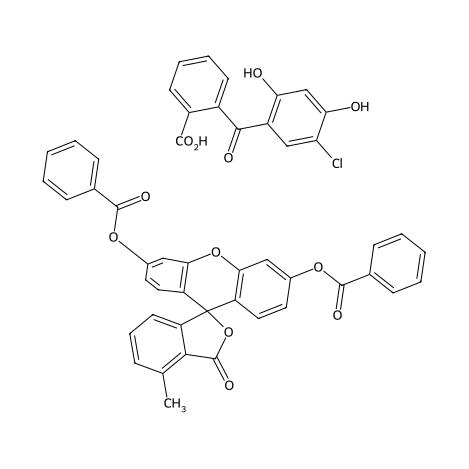 Cc1cccc2c1C(=O)OC21c2ccc(OC(=O)c3ccccc3)cc2Oc2cc(OC(=O)c3ccccc3)ccc21.O=C(O)c1ccccc1C(=O)c1cc(Cl)c(O)cc1O